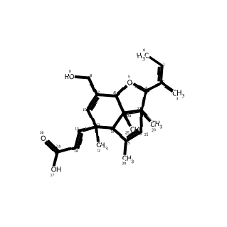 C/C=C(/C)C1OC2C(CO)=CC(C)(/C=C/C(=O)O)C3C(C)=CC1(C)C23C